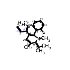 C/C=C\C(=C/C)C1=C(c2c(F)cccc2F)N(C)C(=C(C)C)C(Cl)=C1